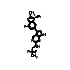 Cc1nc2c(F)cc(-c3c[nH]c4nc(NCC(C)(F)F)ncc34)cc2n1C(C)C